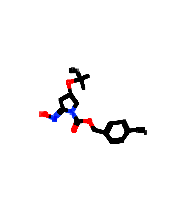 CC(C)(C)[Si](C)(C)O[C@@H]1CC(=NO)N(C(=O)OCc2ccc([N+](=O)[O-])cc2)C1